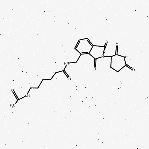 O=C(CCCCCNC(=O)C(F)(F)F)NCc1cccc2c1C(=O)N(C1CCC(=O)NC1=O)C2=O